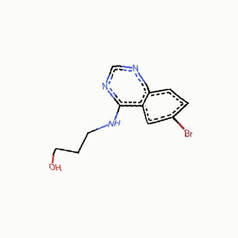 OCCCNc1ncnc2ccc(Br)cc12